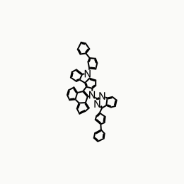 c1ccc(-c2ccc(-c3nc(-n4c5ccc6c(c7ccccc7n6-c6cccc(-c7ccccc7)c6)c5c5c6ccccc6c6ccccc6c54)nc4ccccc34)cc2)cc1